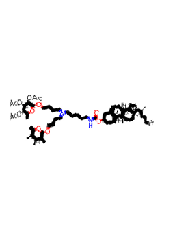 CC(=O)OC1[C@H](OCCCCN(CCCCCNC(=O)O[C@@H]2CC[C@@]3(C)C(=CC[C@H]4[C@@H]5CC[C@H]([C@H](C)CCCC(C)C)[C@@]5(C)CC[C@@H]43)C2)CCCCO[C@@H]2OC(C)[C@H](C)[C@H](C)C2C)OC(C)[C@H](OC(C)=O)[C@@H]1OC(C)=O